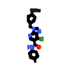 COc1ccc(Cn2cnc3c(Cl)c(C(=O)Nc4ccc(C)cc4)cnc32)cc1